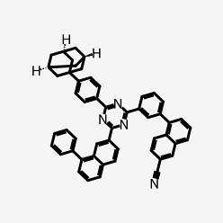 N#Cc1ccc2c(-c3cccc(-c4nc(-c5ccc(C67C[C@H]8C[C@H](C6)C[C@@H](C7)C8)cc5)nc(-c5ccc6cccc(-c7ccccc7)c6c5)n4)c3)cccc2c1